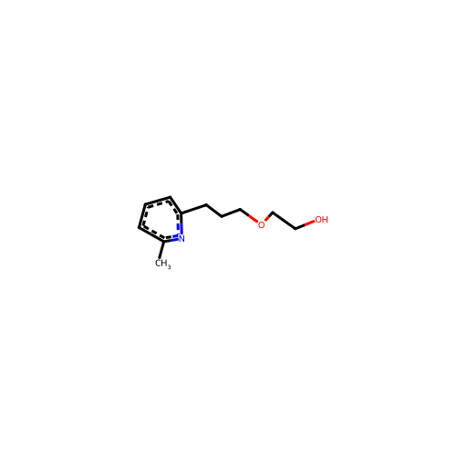 Cc1cccc(CCCOCCO)n1